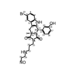 C[C@@]12Cc3c([nH]c4ccc(Br)cc34)[C@@H](c3cccc(O)c3)N1C(=O)N(CCCNCCN=O)C2=O